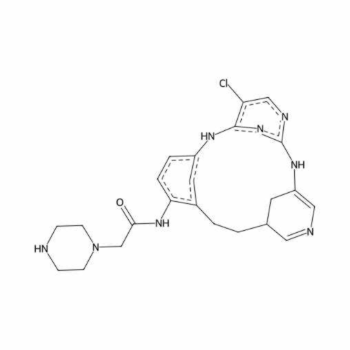 O=C(CN1CCNCC1)Nc1ccc2cc1CCC1C=NC=C(C1)Nc1ncc(Cl)c(n1)N2